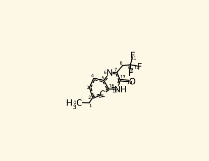 CCc1ccc2nc(CC(F)(F)F)c(=O)[nH]c2c1